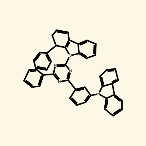 C1=Cc2c(n(-c3nc(-c4ccccc4)nc(-c4cccc(-n5c6ccccc6c6ccccc65)c4)n3)c3ccccc23)C(c2ccccc2)C1